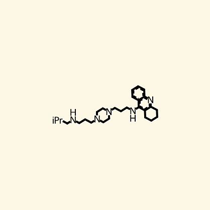 CC(C)CNCCCN1CCN(CCCNc2c3c(nc4ccccc24)CCCC3)CC1